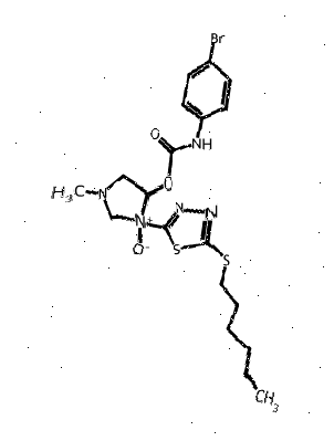 CCCCCCSc1nnc([N+]2([O-])CN(C)CC2OC(=O)Nc2ccc(Br)cc2)s1